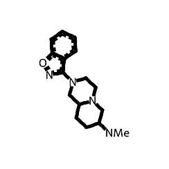 CNC1CCC2CN(c3noc4ccccc34)CCN2C1